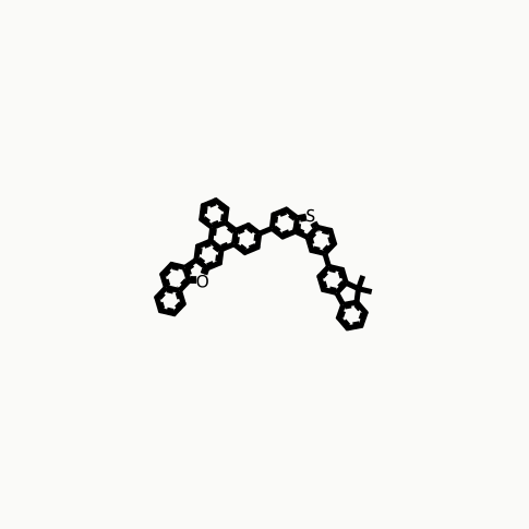 CC1(C)c2ccccc2-c2ccc(-c3ccc4sc5ccc(-c6ccc7c(c6)c6ccccc6c6cc8c(cc76)oc6c7ccccc7ccc86)cc5c4c3)cc21